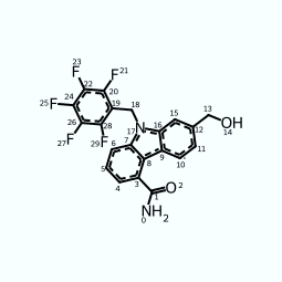 NC(=O)c1cccc2c1c1[c]cc(CO)cc1n2Cc1c(F)c(F)c(F)c(F)c1F